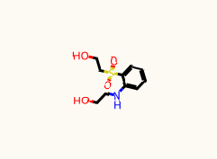 O=S(=O)(CCO)c1c[c]ccc1NCCO